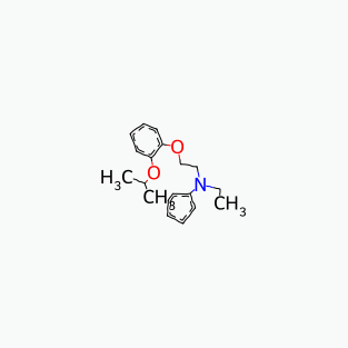 CCN(CCOc1ccccc1OC(C)C)c1ccccc1